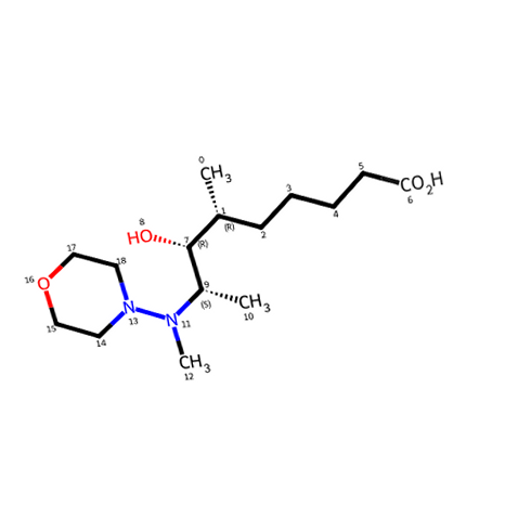 C[C@H](CCCCC(=O)O)[C@@H](O)[C@H](C)N(C)N1CCOCC1